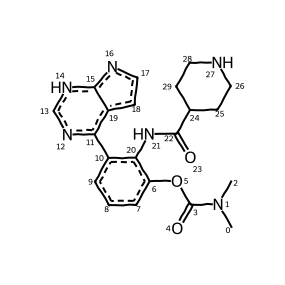 CN(C)C(=O)Oc1cccc(-c2nc[nH]c3nccc2-3)c1NC(=O)C1CCNCC1